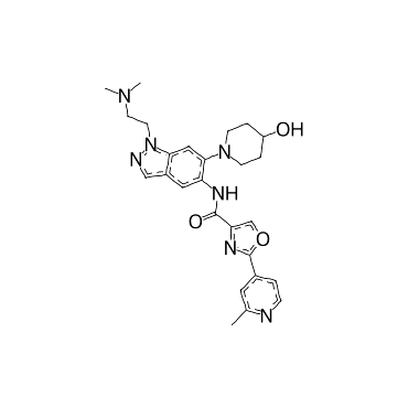 Cc1cc(-c2nc(C(=O)Nc3cc4cnn(CCN(C)C)c4cc3N3CCC(O)CC3)co2)ccn1